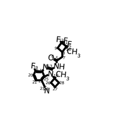 CC1(n2c(NC(=O)CC3CC(F)(F)C3(C)F)nc3c(F)ccc(C#N)c32)CCC1